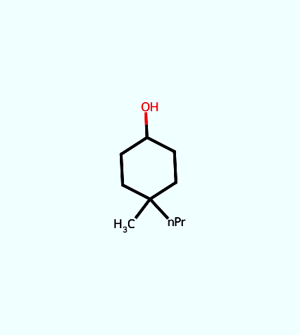 CCCC1(C)CCC(O)CC1